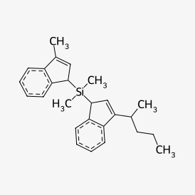 CCCC(C)C1=CC([Si](C)(C)C2C=C(C)c3ccccc32)c2ccccc21